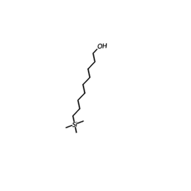 C[Si](C)(C)CCCCCCCCCO